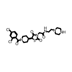 O=C(CN1C(=O)SC(=C2CCN(C(=O)c3ccc(Cl)cc3Cl)CC2)C1=O)NCCN1CCNCC1